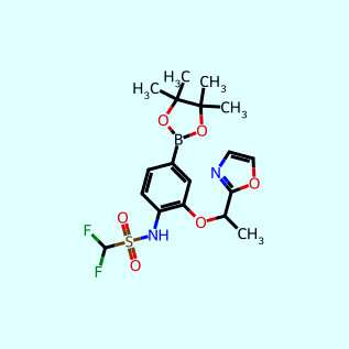 CC(Oc1cc(B2OC(C)(C)C(C)(C)O2)ccc1NS(=O)(=O)C(F)F)c1ncco1